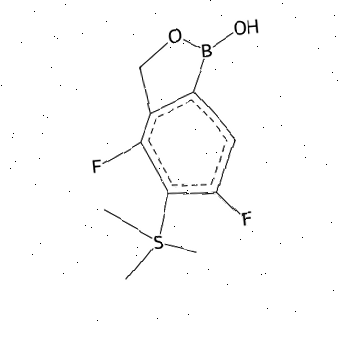 CS(C)(C)c1c(F)cc2c(c1F)COB2O